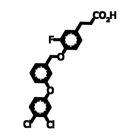 O=C(O)CCc1ccc(OCc2cccc(Oc3ccc(Cl)c(Cl)c3)c2)c(F)c1